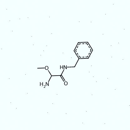 COC(N)C(=O)NCc1ccccc1